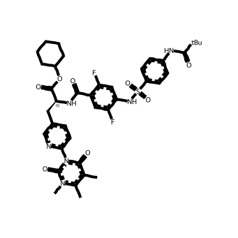 Cc1c(C)n(C)c(=O)n(-c2ccc(C[C@H](NC(=O)c3cc(F)c(NS(=O)(=O)c4ccc(NC(=O)C(C)(C)C)cc4)cc3F)C(=O)OC3CCCCC3)cn2)c1=O